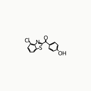 O=C(c1ccc(O)cc1)c1nc2c(Cl)cccc2s1